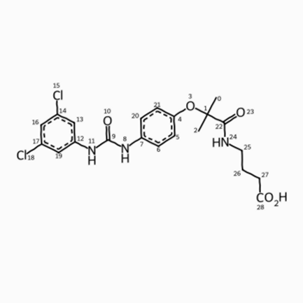 CC(C)(Oc1ccc(NC(=O)Nc2cc(Cl)cc(Cl)c2)cc1)C(=O)NCCCC(=O)O